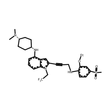 CCOc1cc(S(C)(=O)=O)ccc1NCC#Cc1cc2c(N[C@H]3CC[C@@H](N(C)C)CC3)cccc2n1CC(F)(F)F